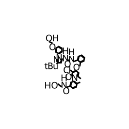 Cc1ccc(C(=O)NCCO)cc1-n1c(C)cc(OCc2ccccc2CNC(=O)Nc2cc(C(C)(C)C)nn2-c2cccc(OCCO)c2)c(Cl)c1=O